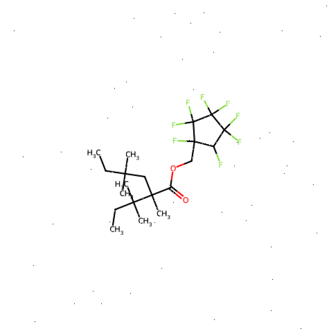 CCC(C)(C)CC(C)(C(=O)OCC1(F)C(F)C(F)(F)C(F)(F)C1(F)F)C(C)(C)CC